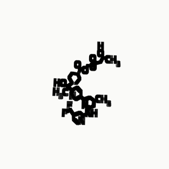 Cc1cc(Nc2cc(C(F)F)ccn2)nc(-c2ccc([C@](C)(O)[C@H]3CC[C@H](C(=O)OCOC(=O)CC(C)O)CC3)nc2)c1